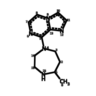 CC1CCN(c2nccn3ccnc23)CCN1